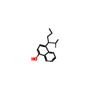 CCCC(c1ccc(O)c2ccccc12)C(C)C